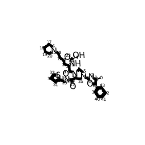 C[C@@H]1N=C(N2CCN(C(=O)C(CCCCN3CCCCC3)NC(=O)O)C(C(=O)NCc3cccs3)C2)O[C@H]1c1ccccc1